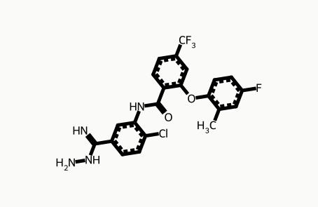 Cc1cc(F)ccc1Oc1cc(C(F)(F)F)ccc1C(=O)Nc1cc(C(=N)NN)ccc1Cl